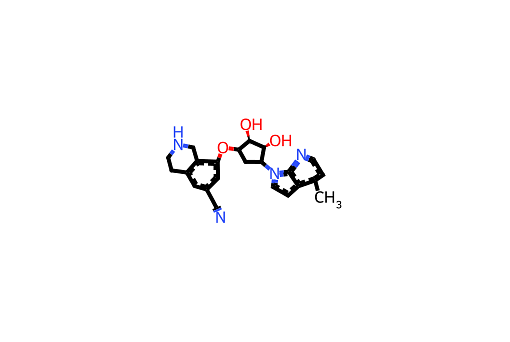 Cc1ccnc2c1ccn2C1CC(Oc2cc(C#N)cc3c2CNCC3)[C@@H](O)[C@H]1O